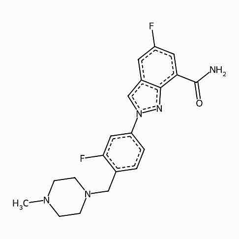 CN1CCN(Cc2ccc(-n3cc4cc(F)cc(C(N)=O)c4n3)cc2F)CC1